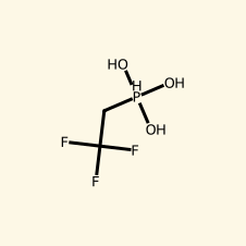 O[PH](O)(O)CC(F)(F)F